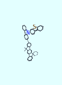 CC1(C)c2cc(-c3ccc4c5ccccc5n(-c5ccc6c(c5)sc5ccccc56)c4c3)ccc2-c2cc3c(cc21)-c1ccccc1C31CCCCC1